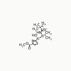 COC(=O)c1csc([C@H](O)C[C@@H](N[S@@+]([O-])C(C)(C)C)C(C)C)n1